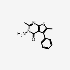 Cc1sc2nc(C)n(N)c(=O)c2c1-c1ccccc1